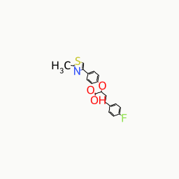 Cc1nc(-c2ccc(OC(CCc3ccc(F)cc3)C(=O)O)cc2)cs1